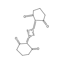 O=C1CCCC(=O)C1=c1sc(=C2C(=O)CCCC2=O)s1